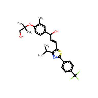 Cc1cc(C(O)C=Cc2sc(-c3ccc(C(F)(F)F)cc3)nc2C(C)C)ccc1OC(C)(C)CO